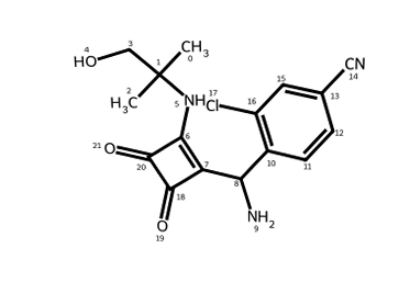 CC(C)(CO)Nc1c(C(N)c2ccc(C#N)cc2Cl)c(=O)c1=O